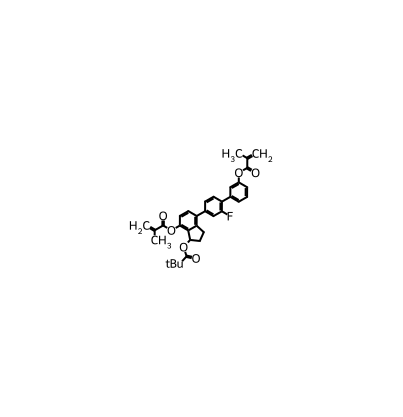 C=C(C)C(=O)Oc1cccc(-c2ccc(-c3ccc(OC(=O)C(=C)C)c4c3CCC4OC(=O)C(C)(C)C)cc2F)c1